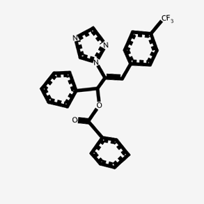 O=C(OC(C(=Cc1ccc(C(F)(F)F)cc1)n1cncn1)c1ccccc1)c1ccccc1